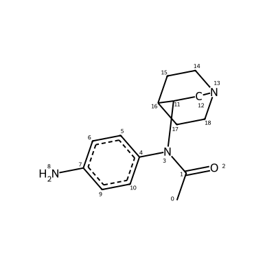 CC(=O)N(c1ccc(N)cc1)C1CN2CCC1CC2